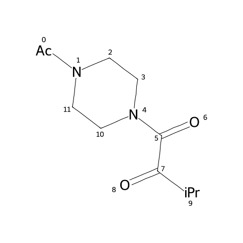 CC(=O)N1CCN(C(=O)C(=O)C(C)C)CC1